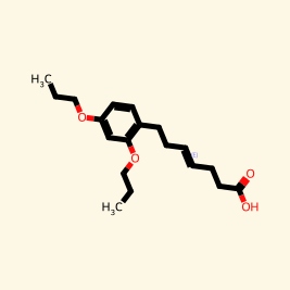 CCCOc1ccc(CC/C=C/CCC(=O)O)c(OCCC)c1